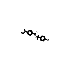 CCC(C)c1ccc(C(=O)OC(C)(C)c2ccc(Br)cc2)cc1